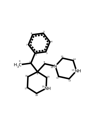 CC(c1ccccc1)C1(CN2CCNCC2)CCCNC1